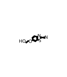 N#Cc1nc2ccc(OCCO)cc2s1